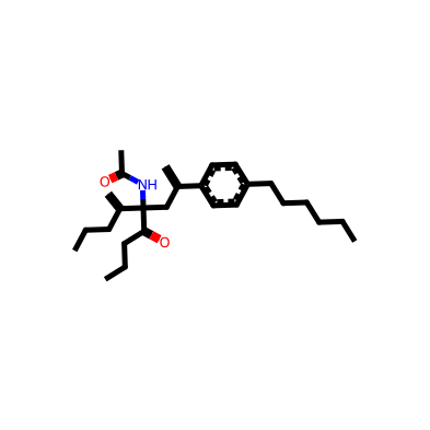 C=C(CC(NC(C)=O)(C(=C)CCC)C(=O)CCC)c1ccc(CCCCCC)cc1